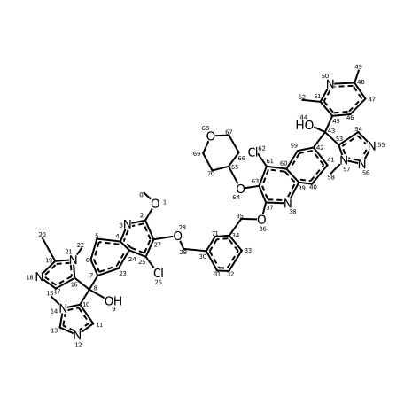 COc1nc2ccc(C(O)(c3cncn3C)c3cnc(C)n3C)cc2c(Cl)c1OCc1cccc(COc2nc3ccc(C(O)(c4ccc(C)nc4C)c4cnnn4C)cc3c(Cl)c2OC2CCOCC2)c1